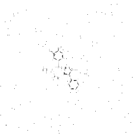 CCc1nn(C(C)c2ccc(C)c(Cl)c2)c(OC(C)=O)c1-c1ccccc1